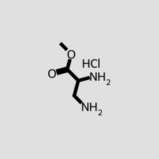 COC(=O)C(N)CN.Cl